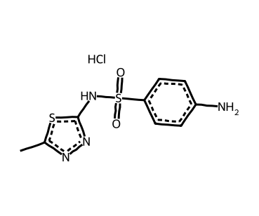 Cc1nnc(NS(=O)(=O)c2ccc(N)cc2)s1.Cl